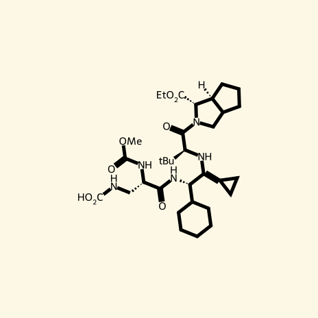 CCOC(=O)[C@@H]1[C@H]2CCCC2CN1C(=O)[C@@H](NC(=C1CC1)[C@@H](NC(=O)[C@H](CNC(=O)O)NC(=O)OC)C1CCCCC1)C(C)(C)C